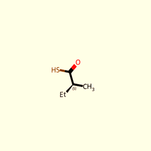 CC[C@H](C)C(=O)S